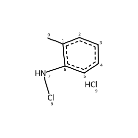 Cc1ccccc1NCl.Cl